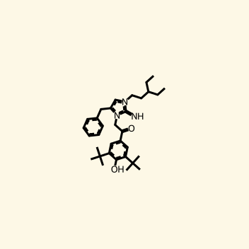 CCC(CC)CCn1cc(Cc2ccccc2)n(CC(=O)c2cc(C(C)(C)C)c(O)c(C(C)(C)C)c2)c1=N